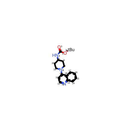 CC(C)(C)OC(=O)NC1CCN(c2ccnc3ccccc23)CC1